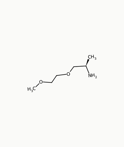 COCCOC[C@@H](C)N